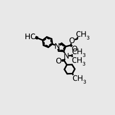 C#Cc1ccc(-n2cc(C(=O)OCC)c(N(C(=O)C3CCC(C)CC3)C(C)C)c2)cc1